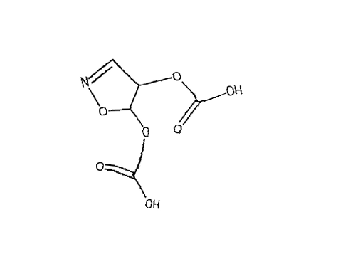 O=C(O)OC1C=NOC1OC(=O)O